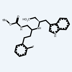 CC(C)(C)OC(=O)NCC(CCc1ccccc1F)N[C@@H](CC(=O)O)Cc1c[nH]c2ccccc12